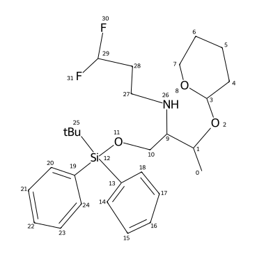 CC(OC1CCCCO1)C(CO[Si](c1ccccc1)(c1ccccc1)C(C)(C)C)NCCC(F)F